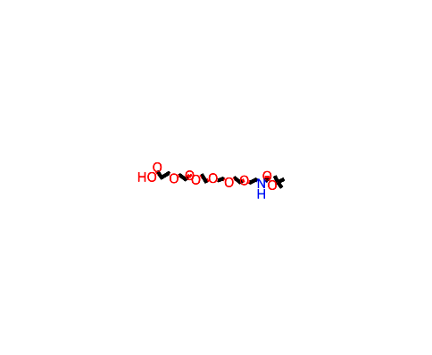 CC(C)(C)OC(=O)NCCOCCOCCOCCOOCCOCCC(=O)O